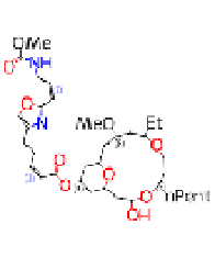 CCCCC[C@H]1CCOC(CC)C[C@@H](OC)CC2C[C@@H](OC(=O)/C=C\CCc3coc(/C=C\CNC(=O)OC)n3)CC(CC(O)O1)O2